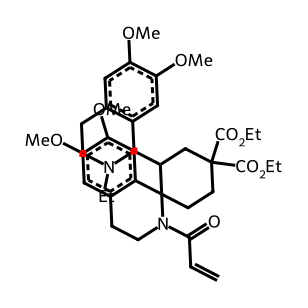 C=CC(=O)N1CCc2cc(OC)c(OC)cc2C12CCC(C(=O)OCC)(C(=O)OCC)CC2C1c2cc(OC)c(OC)cc2CCN1CC